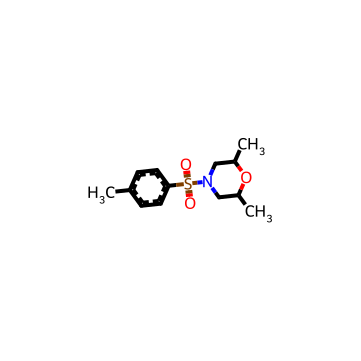 Cc1ccc(S(=O)(=O)N2CC(C)OC(C)C2)cc1